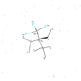 CC[C@](C(C)C)(C(C)(C)C)C(F)(F)F